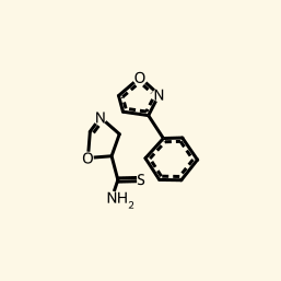 NC(=S)C1CN=CO1.c1ccc(-c2ccon2)cc1